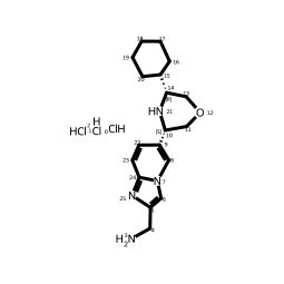 Cl.Cl.Cl.NCc1cn2cc([C@H]3COC[C@@H](C4CCCCC4)N3)ccc2n1